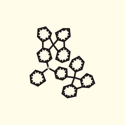 c1ccc(N(c2ccc(C3(c4ccccc4)c4ccccc4-c4ccccc43)cc2)c2ccc3c(c2)C2(c4ccccc4-c4ccccc42)c2ccccc2-3)cc1